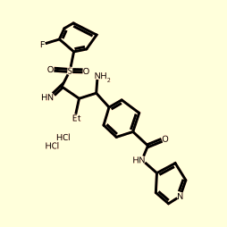 CCC(C(=N)S(=O)(=O)c1ccccc1F)C(N)c1ccc(C(=O)Nc2ccncc2)cc1.Cl.Cl